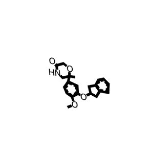 COc1ccc(C2(C)CNC(=O)CO2)cc1OC1Cc2ccccc2C1